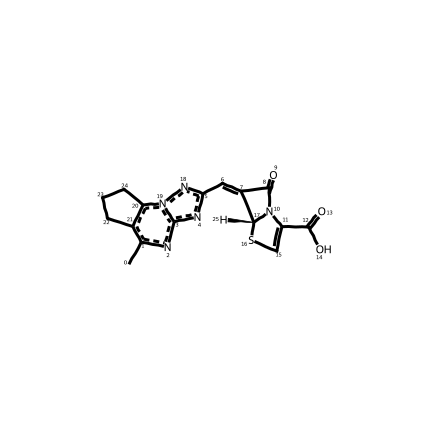 Cc1nc2nc(/C=C3/C(=O)N4C(C(=O)O)=CS[C@H]34)nn2c2c1CCC2